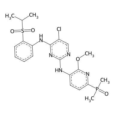 COc1nc(P(C)(C)=O)ccc1Nc1ncc(Cl)c(Nc2ccccc2S(=O)(=O)C(C)C)n1